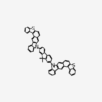 CC1(C)c2cc(-n3c4ccccc4c4cc5c(ccc6sc7ccccc7c65)cc43)ccc2-c2ccc(-n3c4ccccc4c4cc5c(ccc6sc7ccccc7c65)cc43)cc21